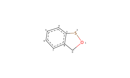 [CH]1OSc2ccccc21